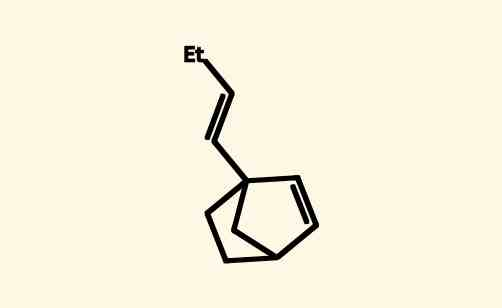 CC/C=C/C12C=CC(CC1)C2